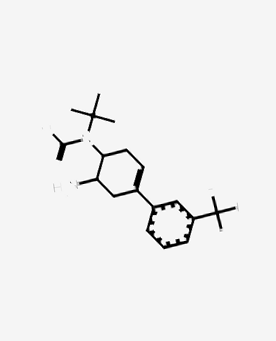 CC(C)(C)N(C(=O)O)C1CC=C(c2cccc(C(F)(F)F)c2)CC1N